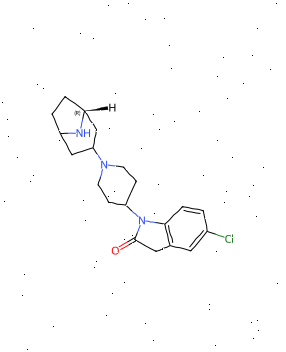 O=C1Cc2cc(Cl)ccc2N1C1CCN(C2CC3CC[C@H](C2)N3)CC1